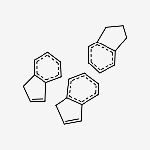 C1=Cc2ccccc2C1.C1=Cc2ccccc2C1.c1ccc2c(c1)CCC2